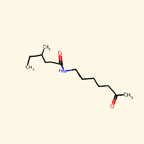 CCC(C)CC(=O)NCCCCCC(C)=O